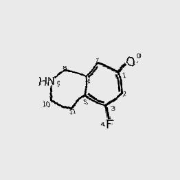 [O]c1cc(F)c2c(c1)CNCC2